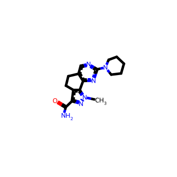 Cn1nc(C(N)=O)c2c1-c1nc(N3CCCCC3)ncc1CC2